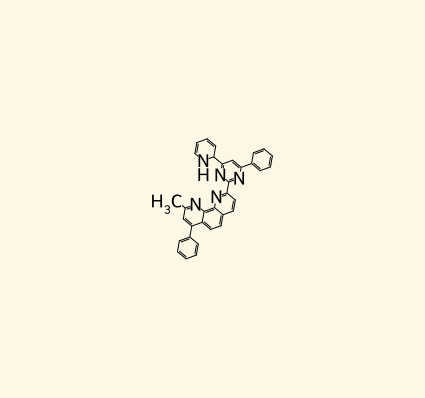 Cc1cc(-c2ccccc2)c2ccc3ccc(-c4nc(-c5ccccc5)cc(C5C=CC=CN5)n4)nc3c2n1